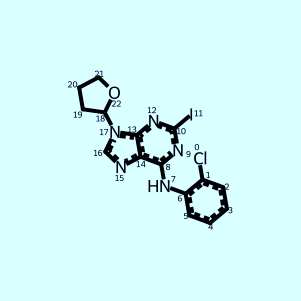 Clc1ccccc1Nc1nc(I)nc2c1ncn2C1CCCO1